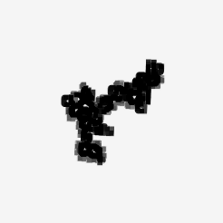 Cc1nn(C)c(C)c1-c1c(Cl)ccc2c(CCCOc3cccc4cc(F)ccc34)c(C(=O)OC(C)(C)C)n(CCN3CCN(C(=O)Cn4c(C)nc5c(C(=O)NC6CCC(=O)NC6=O)cc(Cl)cc54)CC3)c12